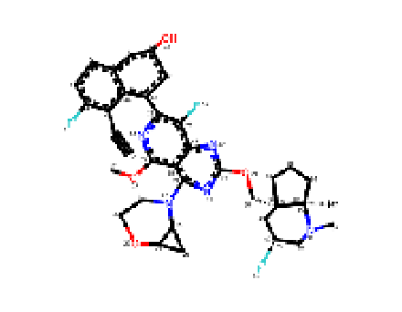 C#Cc1c(F)ccc2cc(O)cc(-c3nc(OC)c4c(N5CCOC6CC65)nc(OC[C@]56CCC[C@H]5N(C)C[C@@H](F)C6)nc4c3F)c12